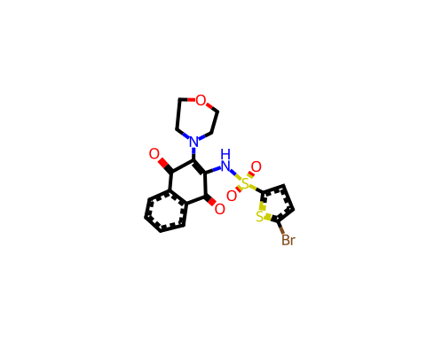 O=C1C(NS(=O)(=O)c2ccc(Br)s2)=C(N2CCOCC2)C(=O)c2ccccc21